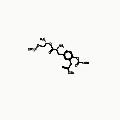 CCOC(=O)OC[C@H](C)OC(=O)[C@@H](N)Cc1ccc(OC(=O)OCC(C)C)c(OC(=O)OCC(C)C)c1